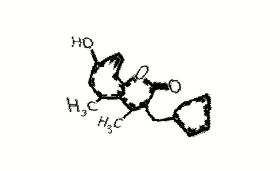 Cc1cc(O)cc2oc(=O)c(Cc3ccccc3)c(C)c12